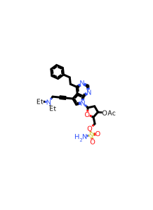 CCN(CC)CC#Cc1cn(C2CC(OC(C)=O)C(COS(N)(=O)=O)O2)c2ncnc(CCc3ccccc3)c12